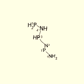 NP=NPNP